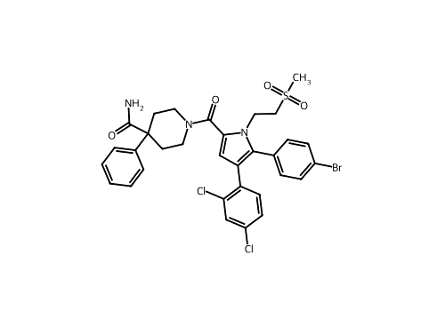 CS(=O)(=O)CCn1c(C(=O)N2CCC(C(N)=O)(c3ccccc3)CC2)cc(-c2ccc(Cl)cc2Cl)c1-c1ccc(Br)cc1